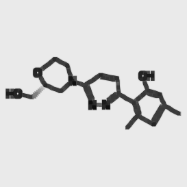 Cc1cc(C)c(-c2ccc(N3CCO[C@@H](CO)C3)nn2)c(O)c1